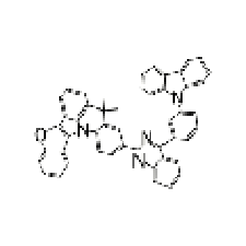 CC1(C)c2cc(-c3nc(-c4cccc(-n5c6ccccc6c6ccccc65)c4)c4ccccc4n3)ccc2-n2c3c1cccc3c1oc3ccccc3c12